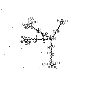 CC(=O)NC1C(OCCCCC(=O)NCCCNC(=O)CCOCC(COCCC(=O)NCCCNC(=O)CCCCOC2OC(CO)C(O)C(O)[C@@H]2NC(C)=O)(COCCC(=O)NCCCNC(=O)CCCCOC(OC(CO)[C@@H](C)O)[C@H](CO)NC(C)=O)NC(=O)CCCC(=O)NCCCCCCOP(C)(=O)O)OC(CO)C(O)C1O